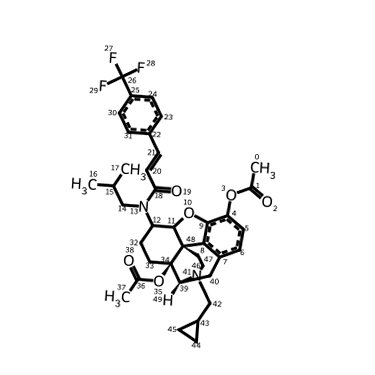 CC(=O)Oc1ccc2c3c1OC1C(N(CC(C)C)C(=O)/C=C/c4ccc(C(F)(F)F)cc4)CC[C@@]4(OC(C)=O)[C@@H](C2)N(CC2CC2)CC[C@]314